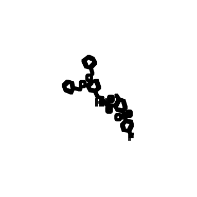 Cc1ccc(S(=O)(=O)c2ccc(F)cc2)cc1S(=O)(=O)NCCc1ccc(OCc2ccccc2)c(OCc2ccccc2)c1